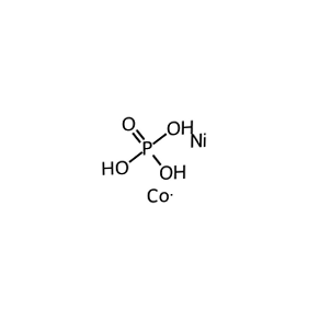 O=P(O)(O)O.[Co].[Ni]